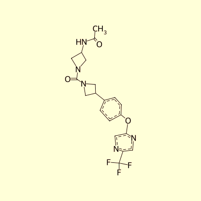 CC(=O)NC1CN(C(=O)N2CC(c3ccc(Oc4cnc(C(F)(F)F)cn4)cc3)C2)C1